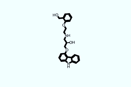 OCc1ccccc1OCCNC[C@@H](O)COc1cccc2[nH]c3ccccc3c12